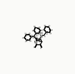 C=C1C(=C)N2C(=C)CC1C(NCc1ccccc1)C2C(c1ccccc1)c1ccccc1